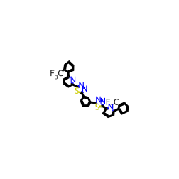 FC(F)(F)c1ccccc1-c1cccc(-c2nnc(-c3cccc(-c4nnc(-c5cccc(-c6ccccc6C(F)(F)F)n5)s4)c3)s2)n1